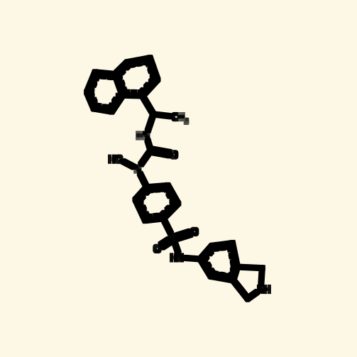 CC(NC(=O)N(O)c1ccc(S(=O)(=O)Nc2ccc3c(c2)CNC3)cc1)c1cccc2ccccc12